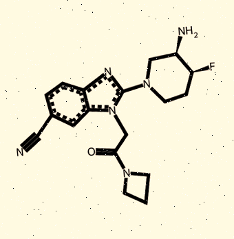 N#Cc1ccc2nc(N3CC[C@H](F)[C@H](N)C3)n(CC(=O)N3CCC3)c2c1